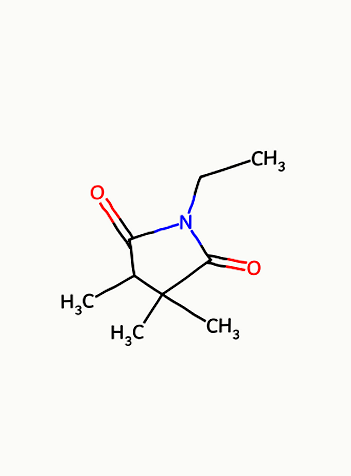 CCN1C(=O)C(C)C(C)(C)C1=O